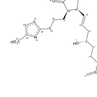 C=C(C)CCC[C@H](O)C/C=C/[C@@H]1CCC(=O)[C@@H]1CCSc1nc(C(=O)O)cs1